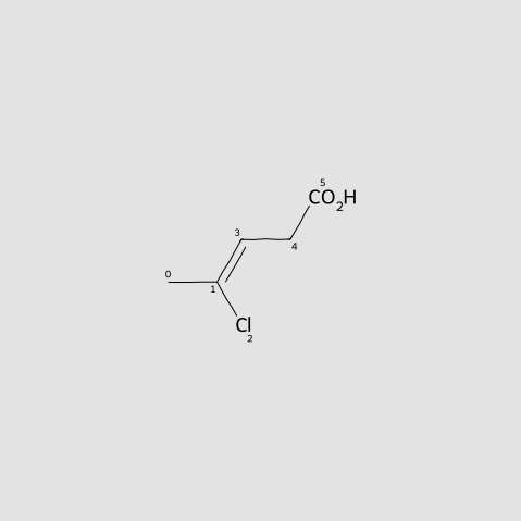 CC(Cl)=CCC(=O)O